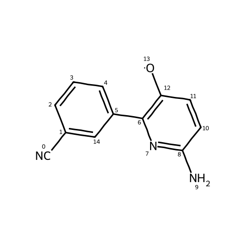 N#Cc1cccc(-c2nc(N)ccc2[O])c1